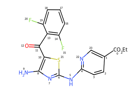 CCOC(=O)c1ccc(Nc2nc(N)c(C(=O)c3c(F)cccc3F)s2)nc1